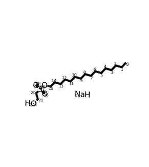 CCCCCCCCCCCCCCCCOS(=O)(=O)CCO.[NaH]